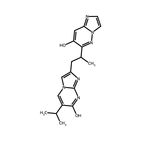 CC(C)c1cn2cc(CC(C)c3nn4ccnc4cc3O)nc2nc1O